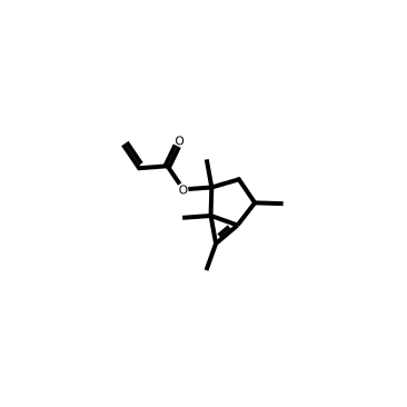 C=CC(=O)OC1(C)CC(C)C2=C(C)C21C